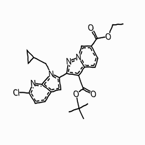 CCOC(=O)c1ccc2c(C(=O)OC(C)(C)C)c(-c3cc4ccc(Cl)nc4n3CC3CC3)nn2c1